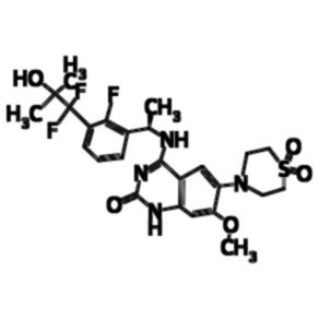 COc1cc2[nH]c(=O)nc(N[C@H](C)c3cccc(C(F)(F)C(C)(C)O)c3F)c2cc1N1CCS(=O)(=O)CC1